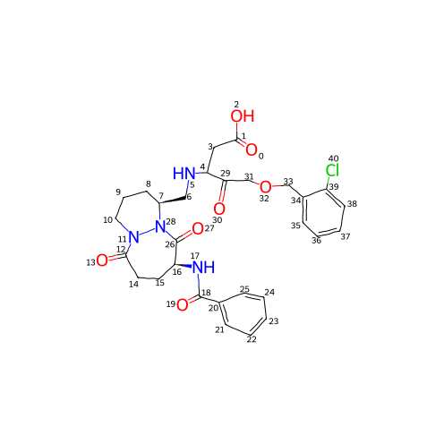 O=C(O)CC(NC[C@@H]1CCCN2C(=O)CC[C@H](NC(=O)c3ccccc3)C(=O)N12)C(=O)COCc1ccccc1Cl